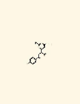 COc1cc(C(CC(=O)c2ccc(Cl)cc2)C(=O)O)nc(C(F)(F)F)n1